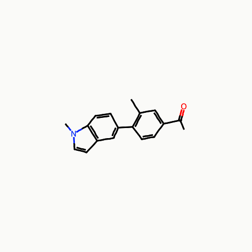 CC(=O)c1ccc(-c2ccc3c(ccn3C)c2)c(C)c1